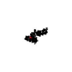 Cc1cnc(N(F)c2ccc(CN3CCN(C)CC3)cc2)nc1-c1ccc(F)cc1S(=O)(=O)N1CCCC1